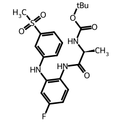 C[C@H](NC(=O)OC(C)(C)C)C(=O)Nc1ccc(F)cc1Nc1cccc(S(C)(=O)=O)c1